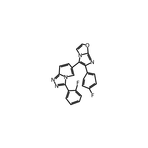 Fc1ccc(-c2nc3occn3c2-c2ccc3nnc(-c4ccccc4F)n3c2)cc1